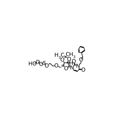 CC1(C)OC2[C@@H](COCCOSOOO)O[C@@H](n3ccc(=O)n(COCc4ccccc4)c3=O)[C@H]2O1